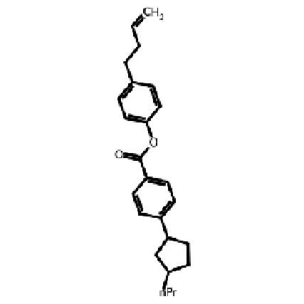 C=CCCc1ccc(OC(=O)c2ccc(C3CCC(CCC)C3)cc2)cc1